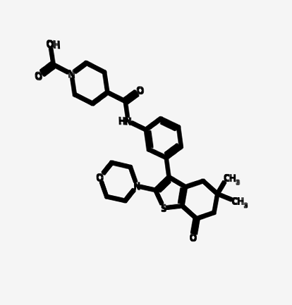 CC1(C)CC(=O)c2sc(N3CCOCC3)c(-c3cccc(NC(=O)C4CCN(C(=O)O)CC4)c3)c2C1